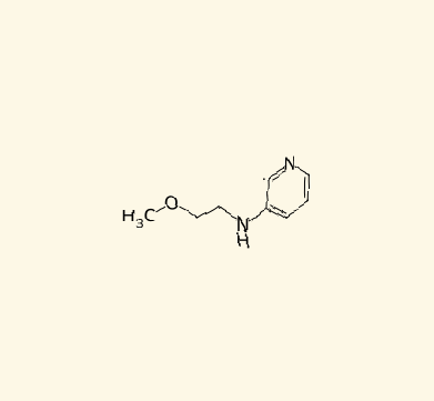 COCCNc1[c]nccc1